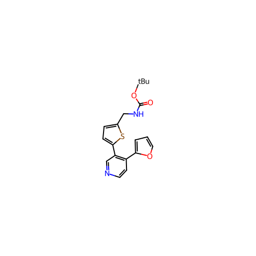 CC(C)(C)OC(=O)NCc1ccc(-c2cnccc2-c2ccco2)s1